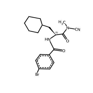 CN(C#N)C(=O)[C@H](CC1CCCCC1)NC(=O)c1ccc(Br)cc1